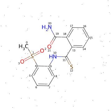 CS(=O)(=O)c1ccccc1NC(=S)c1ccccc1C(N)=O